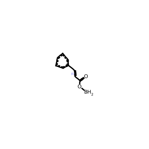 BOC(=O)/C=C/c1ccccc1